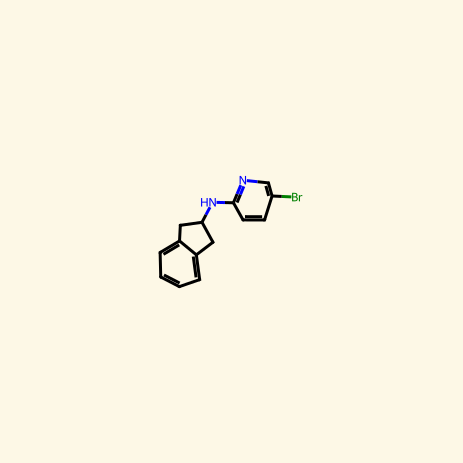 Brc1ccc(NC2Cc3ccccc3C2)nc1